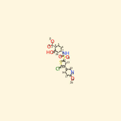 COC(=O)c1ccc(NS(=O)(=O)c2cc(-c3ccc(OC)nc3)c(Cl)s2)cc1O